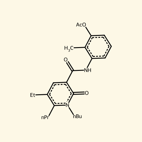 CCCCn1c(CCC)c(CC)cc(C(=O)Nc2cccc(OC(C)=O)c2C)c1=O